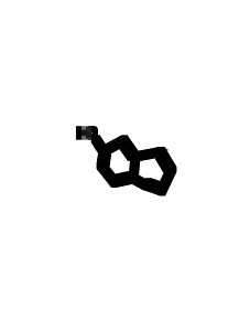 Oc1ccc2ccc[c]c2c1